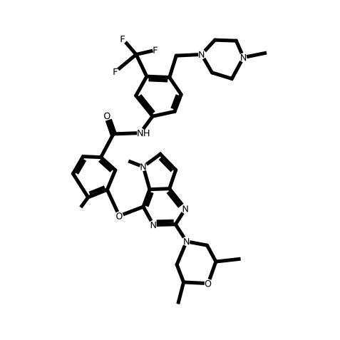 Cc1ccc(C(=O)Nc2ccc(CN3CCN(C)CC3)c(C(F)(F)F)c2)cc1Oc1nc(N2CC(C)OC(C)C2)nc2ccn(C)c12